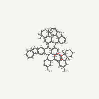 CC(C)(C)c1ccc(N2c3cc4c(cc3B3c5cc6c(cc5N(c5cccc7sc8ccccc8c57)c5cc(N7c8ccc(C(C)(C)C)cc8C8(C)CCCCC78C)cc2c53)C(C)(C)CCC6(C)C)sc2ccccc24)c(-c2ccccc2)c1